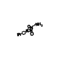 CC(C)C1CCC(N2CCC3(CC2)C(=O)N(CCCN)CN3c2ccccc2)CC1